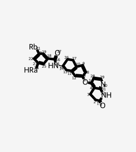 O=C1CCc2c(Oc3ccc4c(c3)C[C@H](NC(=O)c3c[c]([Rb])c[c]([RaH])c3)CC4)ccnc2N1